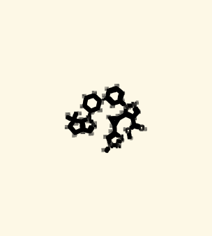 COC(=O)c1cnn(-c2cccc([C@H]3CCC[C@H](n4ncc5c4C(C)(C)CC5)C3)c2)c1C1CC1c1cn(C)nn1